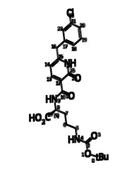 CC(C)(C)OC(=O)NCCC[C@H](NC(=O)c1ccc(Cc2cccc(Cl)c2)[nH]c1=O)C(=O)O